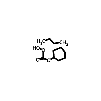 CCCC.O=C(OO)OC1CCCCC1